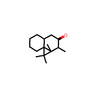 CC1C(=O)CC2CCCCC23C(C)(C)C13C